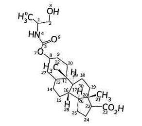 CC(CO)NC(=O)OC1CC[C@@]2(C)C(CC[C@@H]3[C@@H]2CC[C@]2(C)C(C(=O)O)CC[C@@H]32)C1